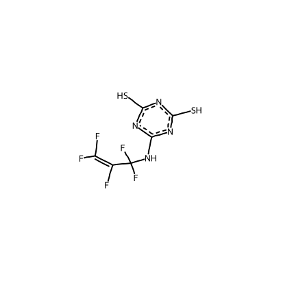 FC(F)=C(F)C(F)(F)Nc1nc(S)nc(S)n1